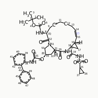 CC(C)(C)OC(=O)N[C@H]1CCCCC/C=C\[C@@H]2C[C@@]2(C(=O)NS(=O)(=O)C2CC2)NC(=O)[C@@H]2C[C@@H](OC(=O)Nc3ccccc3-c3ccccc3)CN2C1=O